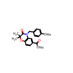 COC(=O)c1ccc2c(c1)N(Cc1ccc(OC)cc1)C(=O)C(C)(C)O2